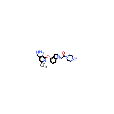 NCc1cc(Oc2cccc3c2ccn3CC(=O)N2CCNCC2)nc(C(F)(F)F)c1